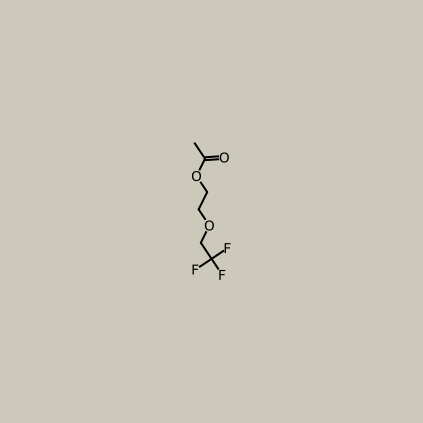 CC(=O)OCCOCC(F)(F)F